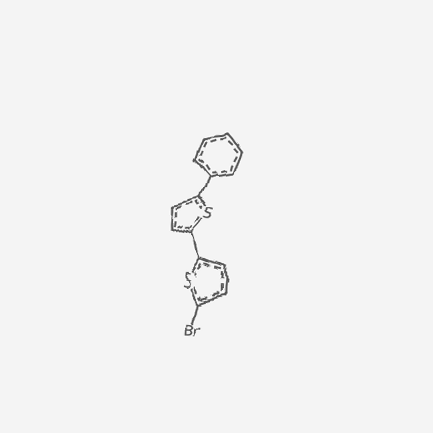 Brc1ccc(-c2ccc(-c3ccccc3)s2)s1